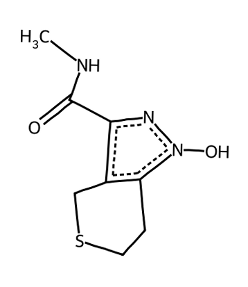 CNC(=O)c1nn(O)c2c1CSCC2